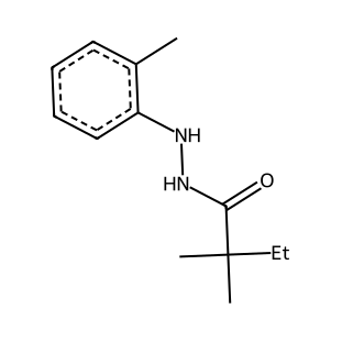 CCC(C)(C)C(=O)NNc1ccccc1C